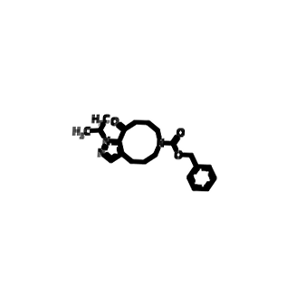 CC(C)n1ncc2c1C(=O)CCCN(C(=O)OCc1ccccc1)CCC2